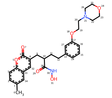 Cc1ccc2oc(=O)c(CC(CCc3cccc(OCCN4CCOCC4)c3)C(=O)NO)cc2c1